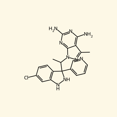 Cc1nn(C(C)C2(c3cccnc3)NNc3cc(Cl)ccc32)c2nc(N)nc(N)c12